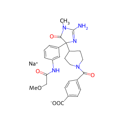 COCC(=O)Nc1cccc(C2(C3CCN(C(=O)c4ccc(C(=O)[O-])cc4)CC3)N=C(N)N(C)C2=O)c1.[Na+]